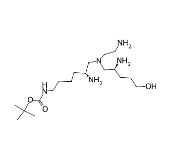 CC(C)(C)OC(=O)NCCCC[C@H](N)CN(CCN)C[C@@H](N)CCCO